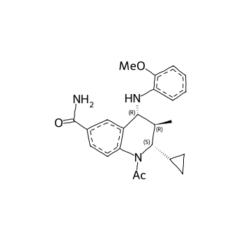 COc1ccccc1N[C@H]1c2cc(C(N)=O)ccc2N(C(C)=O)[C@@H](C2CC2)[C@@H]1C